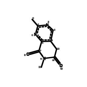 Cc1ncc2c(n1)C(=O)N(C)C(=O)C2